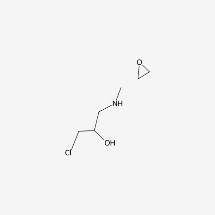 C1CO1.CNCC(O)CCl